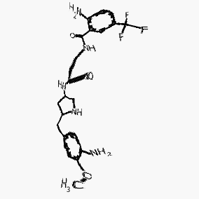 COc1ccc(CC2CC(NC(=O)CNC(=O)c3cc(C(F)(F)F)ccc3N)CN2)cc1N